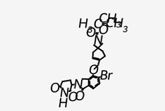 CC(C)(C)OC(=O)N1CC2(CC=C(COc3c(Br)ccc4c3CN(C3CCC(=O)NC3=O)C4=O)CC2)C1